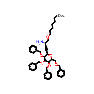 CCCCCCCCCCCCCCCCOC[C@@H](N)C#CC1OC(COCc2ccccc2)C(OCc2ccccc2)C(OCc2ccccc2)C1OCc1ccccc1